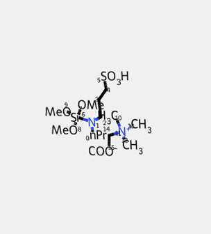 CCCN(CCCS(=O)(=O)O)[Si](OC)(OC)OC.C[N+](C)(C)CC(=O)[O-]